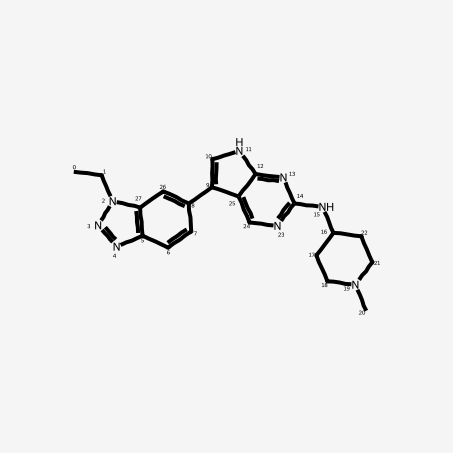 CCn1nnc2ccc(-c3c[nH]c4nc(NC5CCN(C)CC5)ncc34)cc21